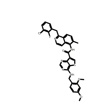 COc1ccc(CNc2ncnc3c(C(=O)Nc4c(C)ccc5c(Cc6cccc(Cl)c6F)nccc45)csc23)c(OC)c1